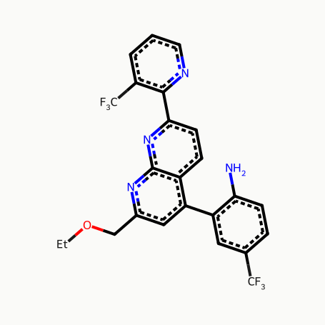 CCOCc1cc(-c2cc(C(F)(F)F)ccc2N)c2ccc(-c3ncccc3C(F)(F)F)nc2n1